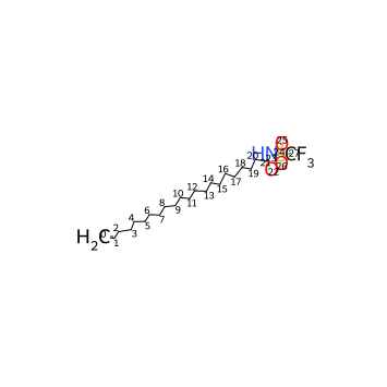 C=CCCCCCCCCCCCCCCCCCCCC(=O)NS(=O)(=O)C(F)(F)F